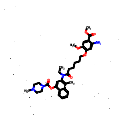 CCN(C(=O)CCCCCOc1cc(N)c(C(=O)OC)cc1OC)c1cc(OC(=O)N2CCN(C)CC2)c2ccccc2c1C